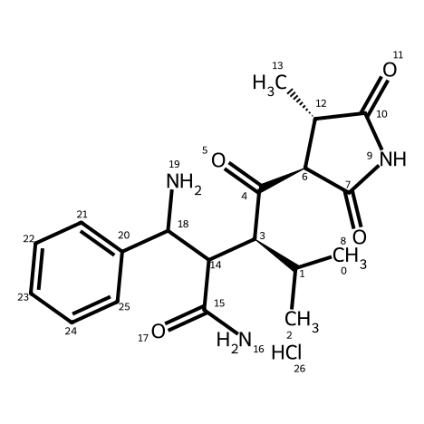 CC(C)[C@H](C(=O)[C@@H]1C(=O)NC(=O)[C@H]1C)C(C(N)=O)C(N)c1ccccc1.Cl